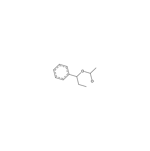 CCC(OC(C)[O])c1ccccc1